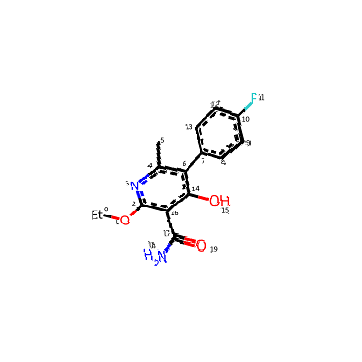 CCOc1nc(C)c(-c2ccc(F)cc2)c(O)c1C(N)=O